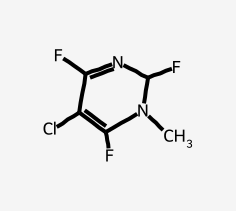 CN1C(F)=C(Cl)C(F)=NC1F